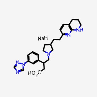 O=C(O)CC(CN1CCC(CCc2ccc3c(n2)NCCC3)C1)c1cccc(-n2cncn2)c1.[NaH]